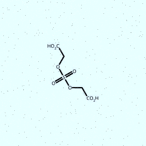 O=C(O)COS(=O)(=O)OCC(=O)O